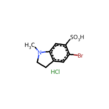 CN1CCc2cc(Br)c(S(=O)(=O)O)cc21.Cl